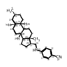 C[C@H]1CC[C@@H]2C3CC[C@@]4(C)C(CC[C@@H]4CNc4ccc(C#N)cc4)[C@@H]3CC[C@@H]2C1